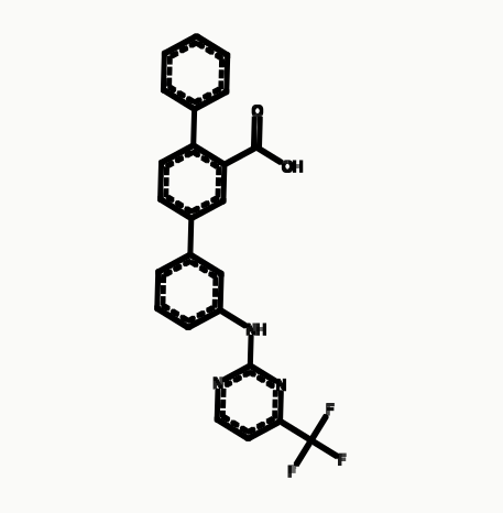 O=C(O)c1cc(-c2cccc(Nc3nccc(C(F)(F)F)n3)c2)ccc1-c1ccccc1